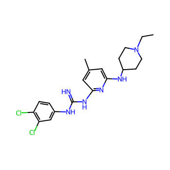 CCN1CCC(Nc2cc(C)cc(NC(=N)Nc3ccc(Cl)c(Cl)c3)n2)CC1